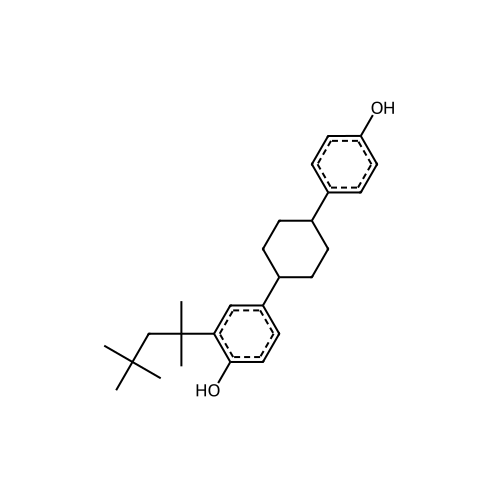 CC(C)(C)CC(C)(C)c1cc(C2CCC(c3ccc(O)cc3)CC2)ccc1O